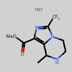 COC(=O)c1nc(C(F)(F)F)n2c1C(C)NCC2.Cl